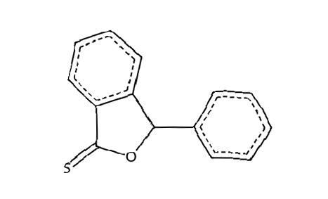 S=C1OC(c2ccccc2)c2ccccc21